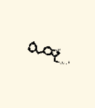 O=C(O)Cc1c[nH]c2ccc(Cc3ccccc3)cc12